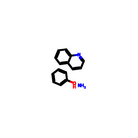 N.Oc1ccccc1.c1ccc2ncccc2c1